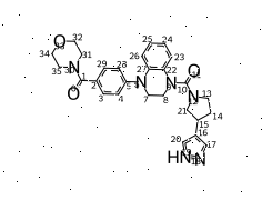 O=C(c1ccc(N2CCN(C(=O)N3CCC(c4cn[nH]c4)C3)c3ccccc32)cc1)N1CCOCC1